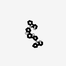 C1=CC2c3cccnc3N(c3ccc4oc5ccc6c7cc(-n8c9ccccc9c9cccnc98)ccc7oc6c5c4c3)C2C=C1